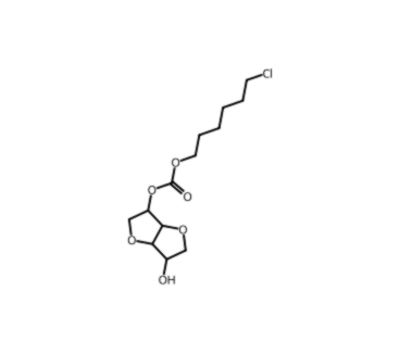 O=C(OCCCCCCCl)OC1COC2C(O)COC12